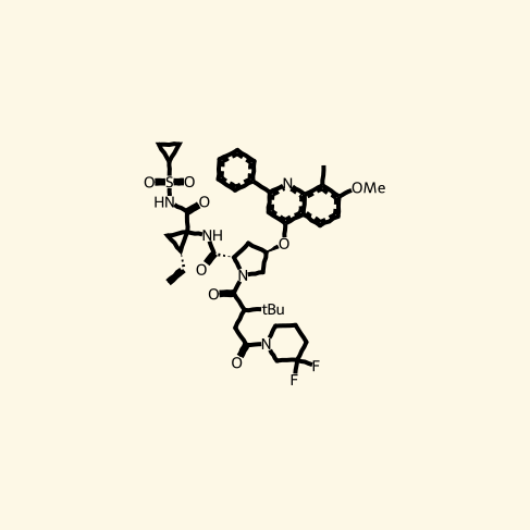 C=C[C@@H]1CC1(NC(=O)[C@@H]1C[C@@H](Oc2cc(-c3ccccc3)nc3c(C)c(OC)ccc23)CN1C(=O)C(CC(=O)N1CCCC(F)(F)C1)C(C)(C)C)C(=O)NS(=O)(=O)C1CC1